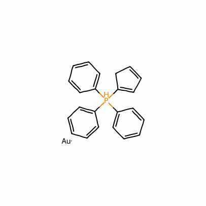 C1=CCC([PH](c2ccccc2)(c2ccccc2)c2ccccc2)=C1.[Au]